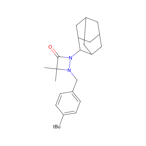 CC(C)(C)c1ccc(CN2N(C3C4CC5CC(C4)CC3C5)C(=O)C2(C)C)cc1